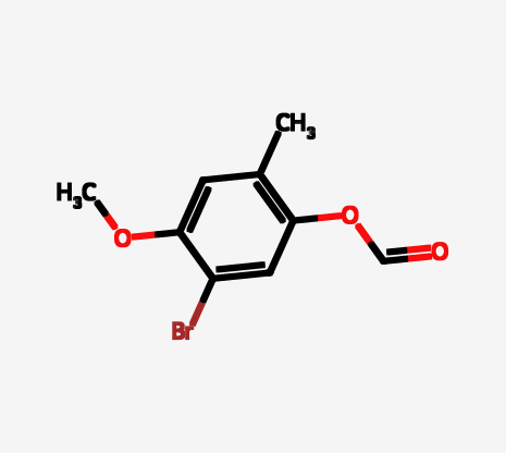 COc1cc(C)c(OC=O)cc1Br